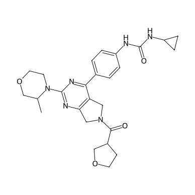 CC1COCCN1c1nc2c(c(-c3ccc(NC(=O)NC4CC4)cc3)n1)CN(C(=O)C1CCOC1)C2